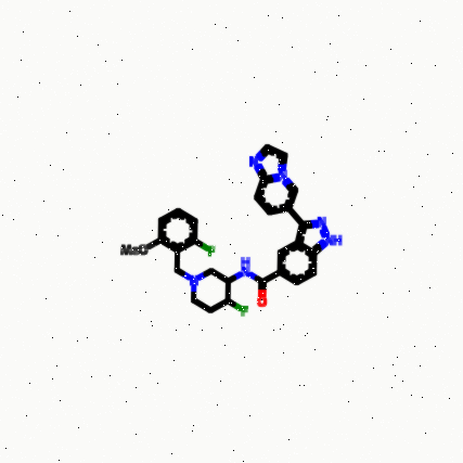 COc1cccc(F)c1CN1CCC(F)C(NC(=O)c2ccc3[nH]nc(-c4ccc5nccn5c4)c3c2)C1